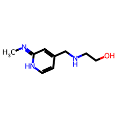 C/N=c1/cc(CNCCO)cc[nH]1